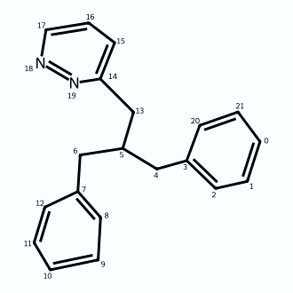 c1ccc(CC(Cc2ccccc2)Cc2cccnn2)cc1